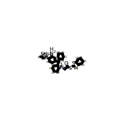 Nc1cc(C(O/N=C\C(=O)Sc2nc3ccccc3s2)(c2ccccc2)c2ccccc2)ccc1N1C=CSN1